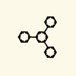 c1ccc(-c2cc(-c3ccccc3)cc(-c3ccccc3)c2)cc1